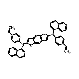 C=Cc1ccc(N(c2cc3cc4sc(N(c5ccc(C=C)cc5)c5cccc6ccccc56)cc4cc3s2)c2cccc3ccccc23)cc1